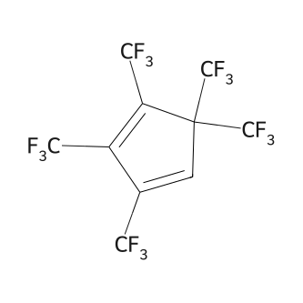 FC(F)(F)C1=CC(C(F)(F)F)(C(F)(F)F)C(C(F)(F)F)=C1C(F)(F)F